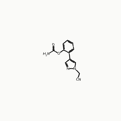 N#CCn1cc(-c2ccccc2OC(N)=O)cn1